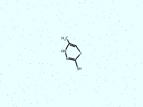 CC1=CSC(S)=NN1